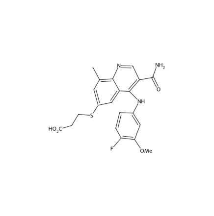 COc1cc(Nc2c(C(N)=O)cnc3c(C)cc(SCCC(=O)O)cc23)ccc1F